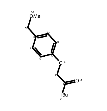 CCC(C)C(=O)COc1ccc(COC)cc1